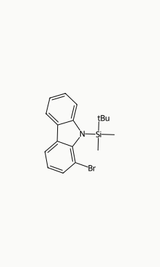 CC(C)(C)[Si](C)(C)n1c2ccccc2c2cccc(Br)c21